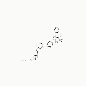 O=C(Nc1ccc(F)cc1)C1(C(=O)Nc2ccc(Oc3ccnc4cc(-c5cnn(CCO)c5)sc34)c(F)c2)CC1